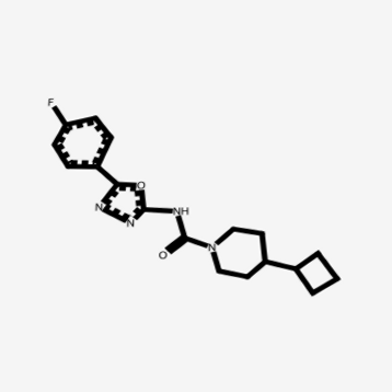 O=C(Nc1nnc(-c2ccc(F)cc2)o1)N1CCC(C2CCC2)CC1